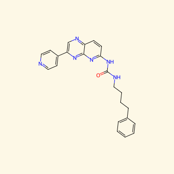 O=C(NCCCCc1ccccc1)Nc1ccc2ncc(-c3ccncc3)nc2n1